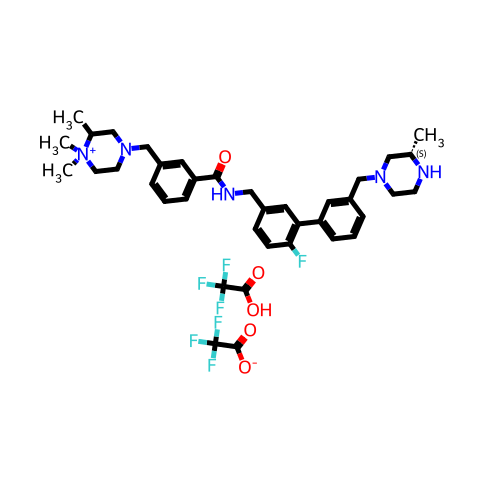 CC1CN(Cc2cccc(C(=O)NCc3ccc(F)c(-c4cccc(CN5CCN[C@@H](C)C5)c4)c3)c2)CC[N+]1(C)C.O=C(O)C(F)(F)F.O=C([O-])C(F)(F)F